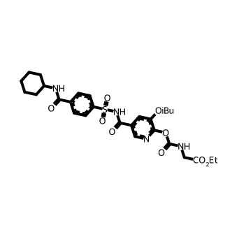 CCOC(=O)CNC(=O)Oc1ncc(C(=O)NS(=O)(=O)c2ccc(C(=O)NC3CCCCC3)cc2)cc1OCC(C)C